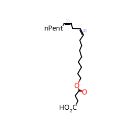 CCCCC/C=C\C/C=C\CCCCCCCCOC(=O)CCC(=O)O